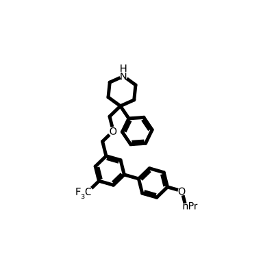 CCCOc1ccc(-c2cc(COCC3(c4ccccc4)CCNCC3)cc(C(F)(F)F)c2)cc1